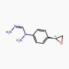 N/N=C\N(N)c1ccc([C@H]2CO2)cc1